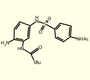 CC(=O)Nc1ccc(S(=O)(=O)Nc2ccc(N)c(NC(=O)C(C)(C)C)c2)cc1